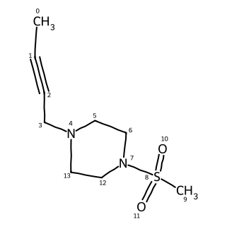 CC#CCN1CCN(S(C)(=O)=O)CC1